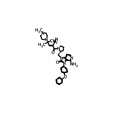 CN1CCN(C(C)(C)C=C(C#N)C(=O)N2CCC[C@H]2Cn2c(=O)n(-c3ccc(Oc4ccccc4)cc3)c3c(N)nccc32)CC1